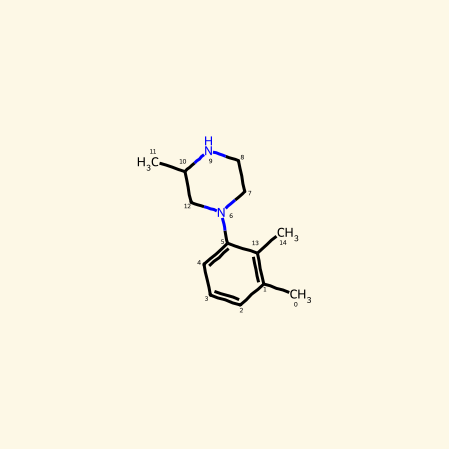 Cc1cccc(N2CCNC(C)C2)c1C